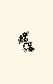 C[C@@H]1CCC[C@H](n2cnc(-c3cc(Cl)ccc3-n3cc(C(F)(F)F)nn3)cc2=O)c2cc(ncn2)-c2cc(F)ccc2NC1=O